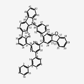 c1ccc(-c2cccc(-c3cc(-c4ccc5oc6ccccc6c5c4)nc(-c4cccc5c4sc4c5ccc5c6ccccc6n(-c6ccccc6)c54)n3)c2)cc1